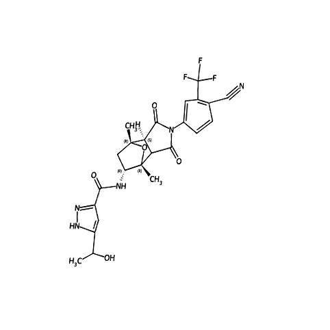 CC(O)c1cc(C(=O)N[C@@H]2C[C@@]3(C)O[C@]2(C)C2C(=O)N(c4ccc(C#N)c(C(F)(F)F)c4)C(=O)[C@@H]23)n[nH]1